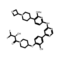 COc1nc(Nc2cc(-c3ccc(OC4CCN(C(=O)[C@H](O)C(F)F)CC4)c(C#N)c3)ncn2)ccc1C1CCN(C2COC2)CC1